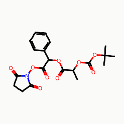 CC(OC(=O)OC(C)(C)C)C(=O)OC(C(=O)ON1C(=O)CCC1=O)c1ccccc1